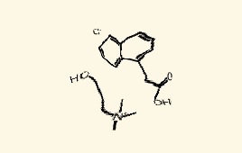 C[N+](C)(C)CCO.O=C(O)Cc1cccc2ccccc12.[Cl-]